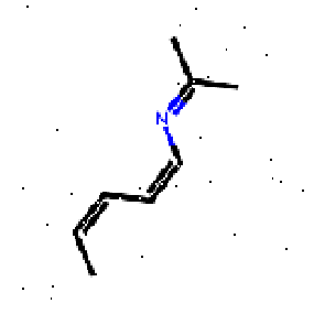 C/C=C\C=C/N=C(C)C